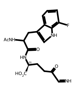 CC(=O)NC(Cc1c[nH]c2c(F)cccc12)C(=O)N[C@@H](CCC(=O)C=N)C(=O)O